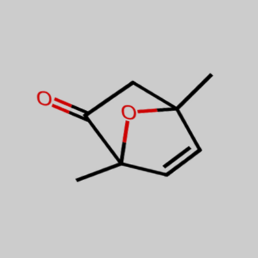 CC12C=CC(C)(O1)C(=O)C2